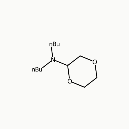 CCCCN(CCCC)[C]1COCCO1